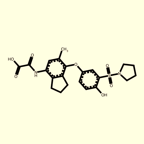 Cc1cc(NC(=O)C(=O)O)c2c(c1Oc1ccc(O)c(S(=O)(=O)N3CCCC3)c1)CCC2